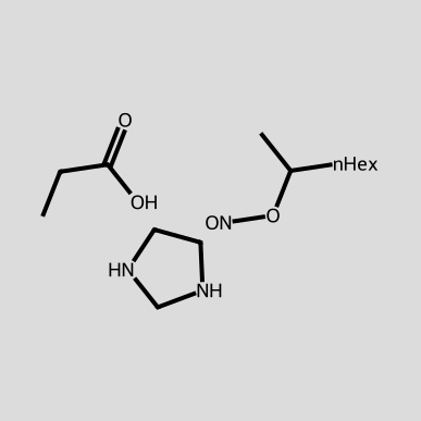 C1CNCN1.CCC(=O)O.CCCCCCC(C)ON=O